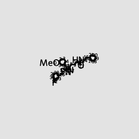 COC1C=CC=C(n2c(CCCC(=O)NCCc3ccccc3)nnc2SCc2cccc(F)c2)C1